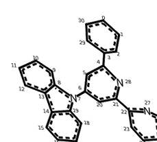 c1ccc(-c2cc(-n3c4ccccc4c4ccccc43)cc(-c3ccccn3)n2)cc1